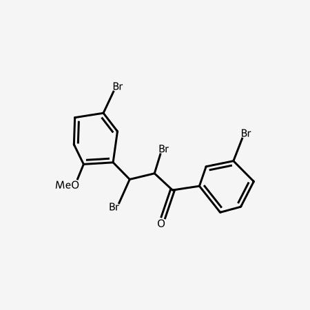 COc1ccc(Br)cc1C(Br)C(Br)C(=O)c1cccc(Br)c1